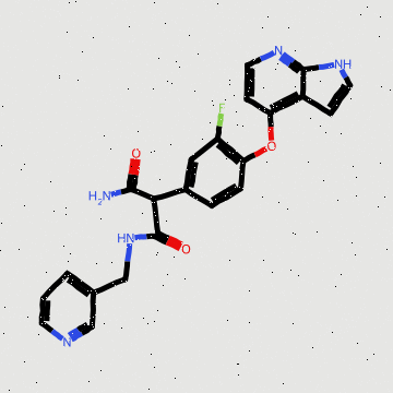 NC(=O)C(C(=O)NCc1cccnc1)c1ccc(Oc2ccnc3[nH]ccc23)c(F)c1